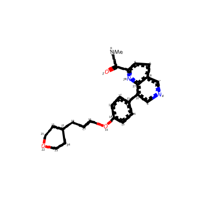 CNC(=O)c1ccc2cncc(-c3ccc(OCCCC4CCOCC4)cc3)c2n1